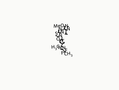 COc1ncnc(C2CC2)c1-c1ncc2c(n1)N(Cc1ccc(-c3nc(C(C)(F)F)cn3C)cc1)C(=O)CS2